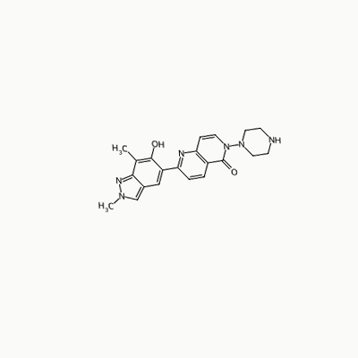 Cc1c(O)c(-c2ccc3c(=O)n(N4CCNCC4)ccc3n2)cc2cn(C)nc12